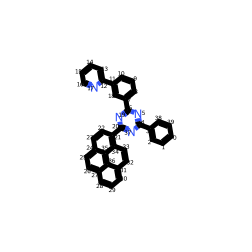 c1ccc(-c2nc(-c3cccc(-c4ccccn4)c3)nc(-c3ccc4ccc5cccc6ccc3c4c56)n2)cc1